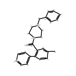 Cc1ccc(-c2ccncc2)c(C(=O)N2CCN(Cc3ccccc3)CC2)c1